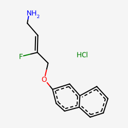 Cl.NCC=C(F)COc1ccc2ccccc2c1